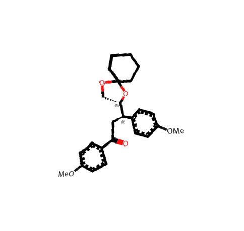 COc1ccc(C(=O)C[C@H](c2ccc(OC)cc2)[C@@H]2COC3(CCCCC3)O2)cc1